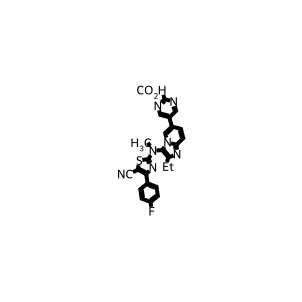 CCc1nc2ccc(-c3cnc(C(=O)O)nc3)cn2c1N(C)c1nc(-c2ccc(F)cc2)c(C#N)s1